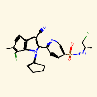 Cc1ccc2c(C#N)c(-c3ccc(S(=O)(=O)N[C@@H](C)CF)cn3)n(C3CCCC3)c2c1F